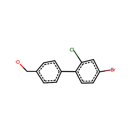 [O]Cc1ccc(-c2ccc(Br)cc2Cl)cc1